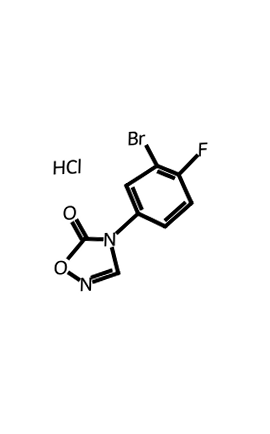 Cl.O=c1oncn1-c1ccc(F)c(Br)c1